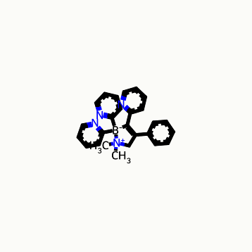 C[N+]1(C)CC(c2ccccc2)=C(c2ccccn2)[B-]1(c1ccccn1)c1ccccn1